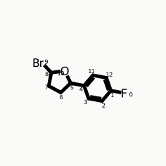 Fc1ccc(C2CCC(Br)O2)cc1